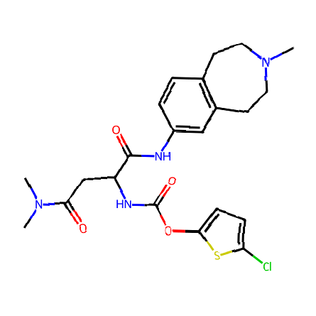 CN1CCc2ccc(NC(=O)C(CC(=O)N(C)C)NC(=O)Oc3ccc(Cl)s3)cc2CC1